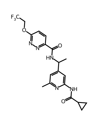 Cc1cc(C(C)NC(=O)c2ccc(OCC(F)(F)F)nn2)cc(NC(=O)C2CC2)n1